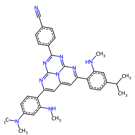 CNc1cc(N(C)C)ccc1C1=CC2=CC(c3ccc(C(C)C)cc3NC)=NC3=NC(c4ccc(C#N)cc4)=NC(=N1)N23